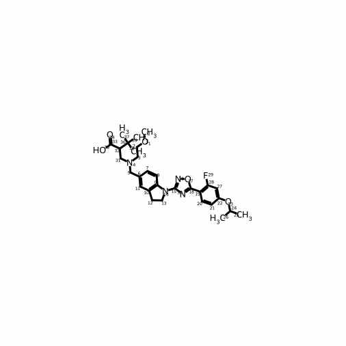 COCCN(Cc1ccc2c(c1)CCN2c1noc(-c2ccc(OC(C)C)cc2F)n1)CC(C(=O)O)C(C)(C)C